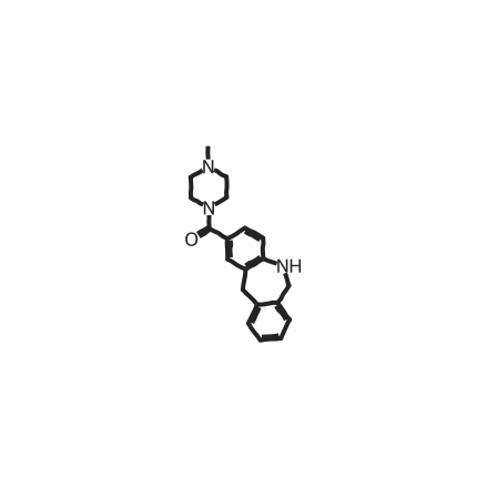 CN1CCN(C(=O)c2ccc3c(c2)Cc2ccccc2CN3)CC1